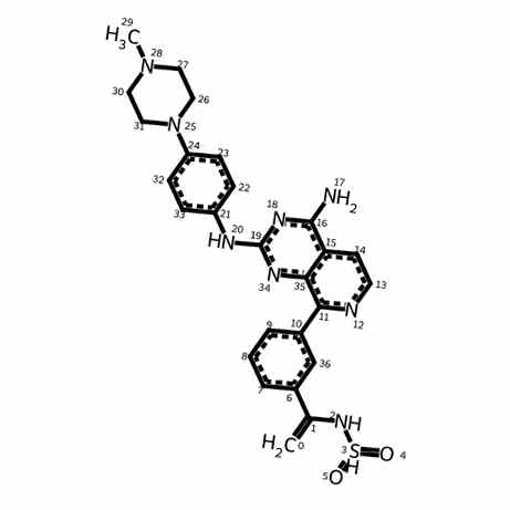 C=C(N[SH](=O)=O)c1cccc(-c2nccc3c(N)nc(Nc4ccc(N5CCN(C)CC5)cc4)nc23)c1